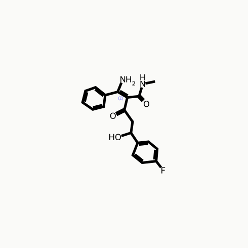 CNC(=O)/C(C(=O)CC(O)c1ccc(F)cc1)=C(\N)c1ccccc1